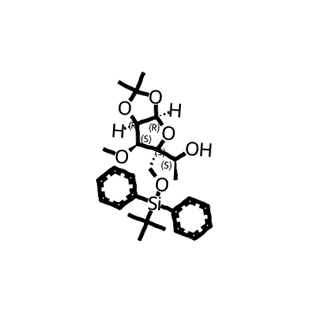 CO[C@H]1[C@H]2OC(C)(C)O[C@H]2O[C@@]1(CO[Si](c1ccccc1)(c1ccccc1)C(C)(C)C)[C@H](C)O